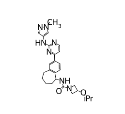 CC(C)OC1CN(C(=O)NC2CCCCc3cc(-c4ccnc(Nc5cnn(C)c5)n4)ccc32)C1